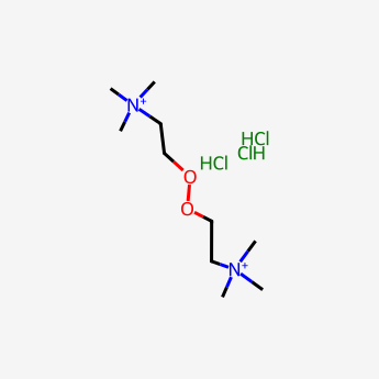 C[N+](C)(C)CCOOCC[N+](C)(C)C.Cl.Cl.Cl